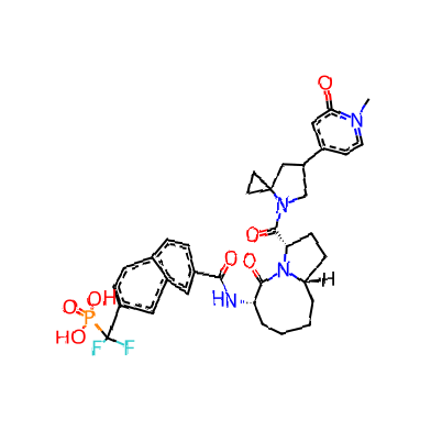 Cn1ccc(C2CN(C(=O)[C@@H]3CC[C@@H]4CCCC[C@H](NC(=O)c5ccc6ccc(C(F)(F)P(=O)(O)O)cc6c5)C(=O)N43)C3(CC3)C2)cc1=O